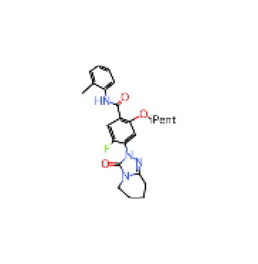 CCCC(C)Oc1cc(-n2nc3n(c2=O)CCCC3)c(F)cc1C(=O)Nc1ccccc1C